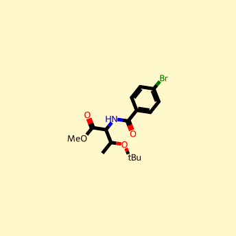 COC(=O)C(NC(=O)c1ccc(Br)cc1)C(C)OC(C)(C)C